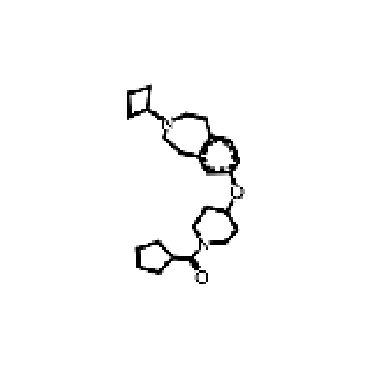 O=C(C1CCCC1)N1CCC(Oc2ccc3c(c2)CCN(C2CCC2)CC3)CC1